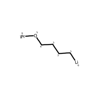 [Li][CH2]CCCOC(C)C